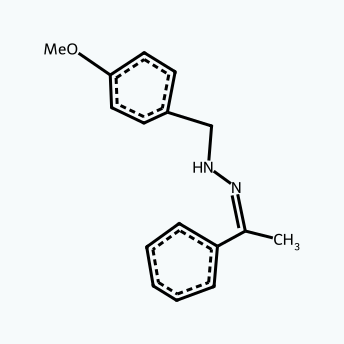 COc1ccc(CNN=C(C)c2ccccc2)cc1